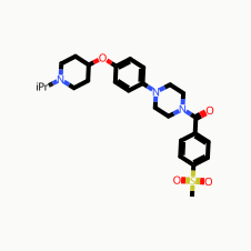 CC(C)N1CCC(Oc2ccc(N3CCN(C(=O)c4ccc(S(C)(=O)=O)cc4)CC3)cc2)CC1